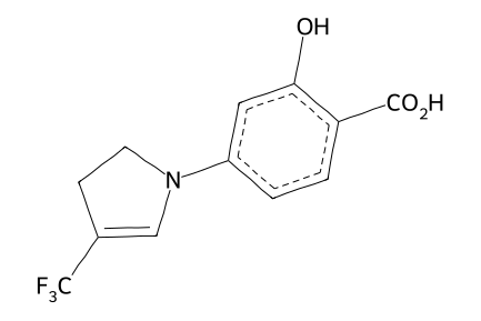 O=C(O)c1ccc(N2C=C(C(F)(F)F)CC2)cc1O